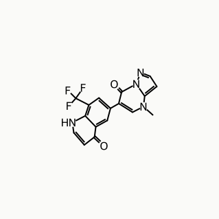 Cn1cc(-c2cc(C(F)(F)F)c3[nH]ccc(=O)c3c2)c(=O)n2nccc12